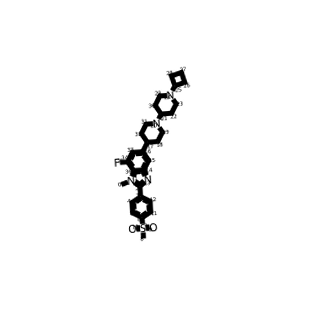 Cn1c(-c2ccc(S(C)(=O)=O)cc2)nc2cc(C3CCN(C4CCN(C5CCC5)CC4)CC3)cc(F)c21